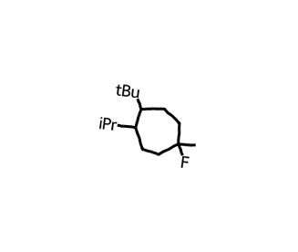 CC(C)C1CCC(C)(F)CCC1C(C)(C)C